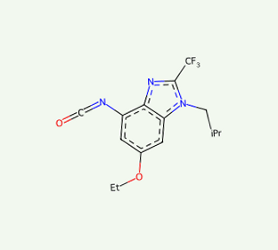 CCOc1cc(N=C=O)c2nc(C(F)(F)F)n(CC(C)C)c2c1